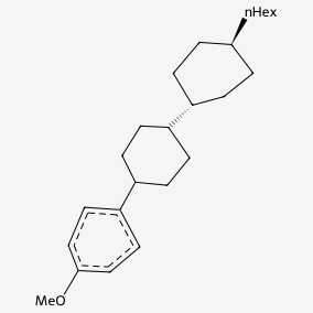 CCCCCC[C@H]1CC[C@H](C2CCC(c3ccc(OC)cc3)CC2)CC1